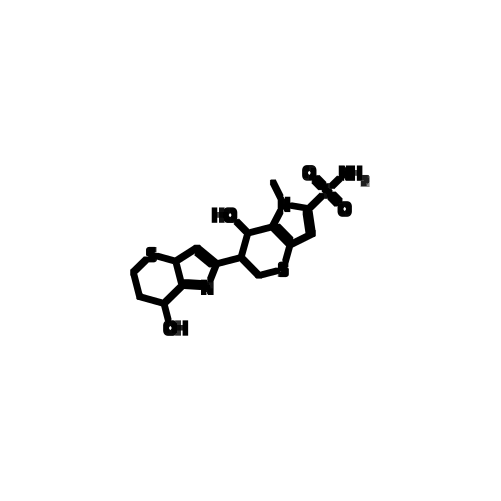 Cn1c(S(N)(=O)=O)cc2c1C(O)C(C1=CC3SCCC(O)C3=N1)CS2